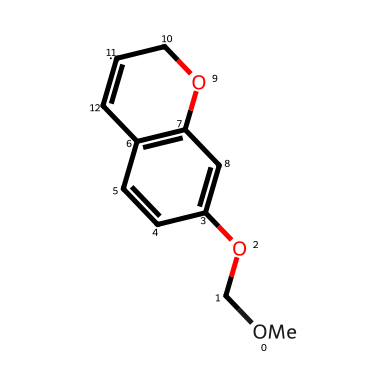 COCOc1ccc2c(c1)OC[C]=C2